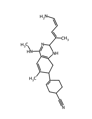 CNC1=NC(/C(C)=C/C=C\N)NC2=C1C=C(C)C(C1=CCC(C#N)CC1)C2